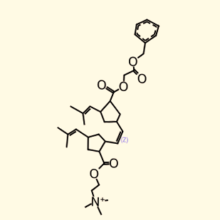 CC(C)=CC1CC(/C=C\C2CC(C=C(C)C)C(C(=O)OCC(=O)OCc3ccccc3)C2)C(C(=O)OCC[N+](C)(C)C)C1